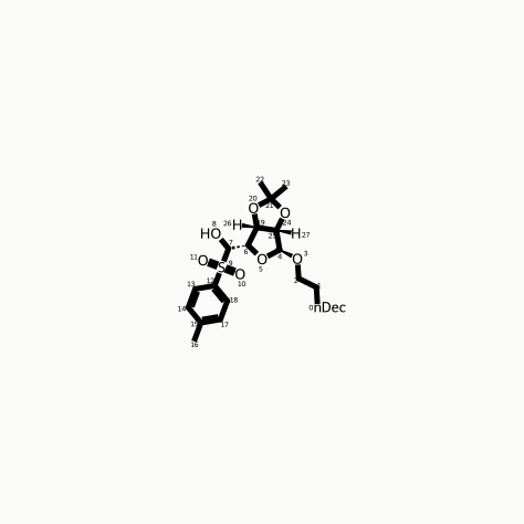 CCCCCCCCCCCCO[C@H]1O[C@H](C(O)S(=O)(=O)c2ccc(C)cc2)[C@@H]2OC(C)(C)O[C@H]12